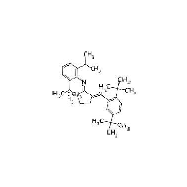 CC1CCC(=Nc2cc(C(C)(C)C)ccc2C(C)(C)C)C1=Nc1c(C(C)C)cccc1C(C)C